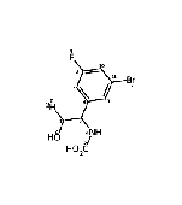 [2H]C(O)C(NC(=O)O)c1cc(F)cc(Br)c1